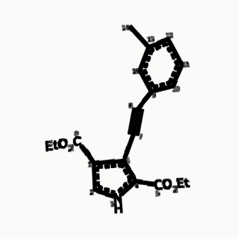 CCOC(=O)c1c[nH]c(C(=O)OCC)c1C#Cc1cccc(C)c1